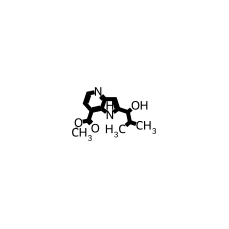 COC(=O)c1ccnc2cc(C(O)C(C)C)[nH]c12